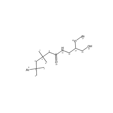 CC(=O)C(C)(C)CC(C)(C)CC(=O)NCC(CO)OC(C)C